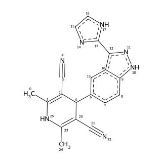 CC1=C(C#N)C(c2ccc3[nH]nc(-c4ncc[nH]4)c3c2)C(C#N)=C(C)N1